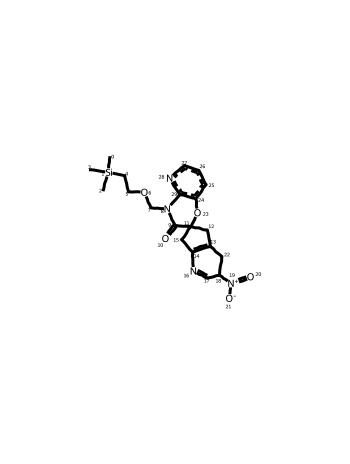 C[Si](C)(C)CCOCN1C(=O)C2(CC3=C(C2)N=CC([N+](=O)[O-])C3)Oc2cccnc21